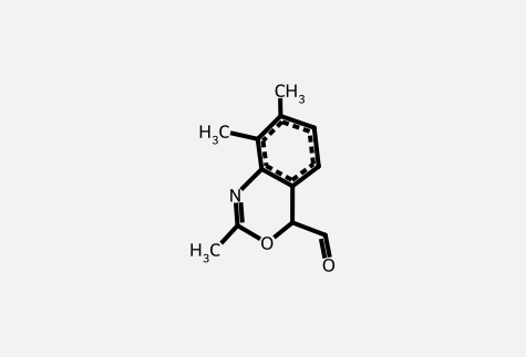 CC1=Nc2c(ccc(C)c2C)C(C=O)O1